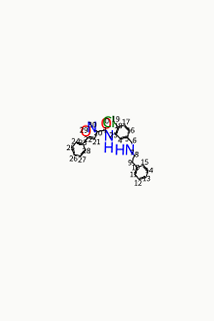 O=C(Nc1cc(CNCCc2ccccc2)ccc1Cl)c1cc(-c2ccccc2)on1